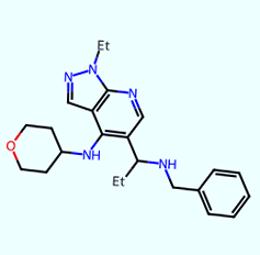 CCC(NCc1ccccc1)c1cnc2c(cnn2CC)c1NC1CCOCC1